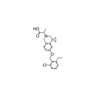 CCc1cccc(Cl)c1COc1ccc2c(c1)C1(CC1)CN(C(C)C(=O)O)C2